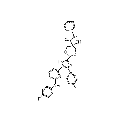 CC1(C(=O)Nc2ccccc2)COC(c2nc(-c3ccc(F)cc3)c(-c3ccnc(Nc4ccc(F)cc4)n3)[nH]2)OC1